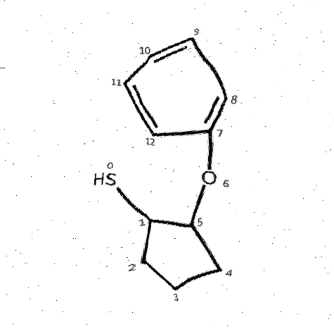 SC1CCCC1Oc1ccccc1